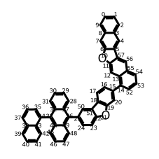 c1ccc2cc3c(cc2c1)oc1cc2c(-c4ccc5c(c4)oc4ccc(-c6c7ccccc7c(-c7cccc8ccccc78)c7ccccc67)cc45)cccc2cc13